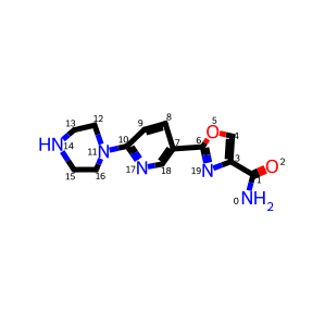 NC(=O)c1coc(-c2ccc(N3CCNCC3)nc2)n1